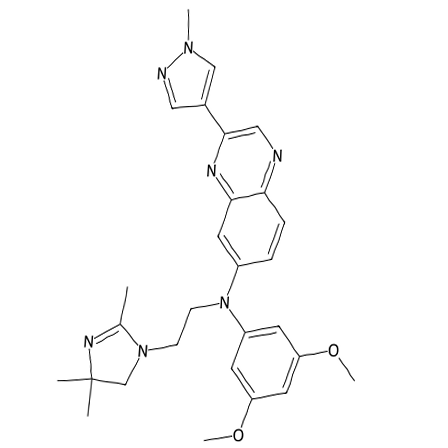 COc1cc(OC)cc(N(CCN2CC(C)(C)N=C2C)c2ccc3ncc(-c4cnn(C)c4)nc3c2)c1